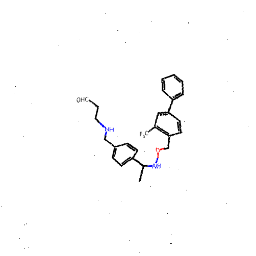 CC(NOCc1ccc(-c2ccccc2)cc1C(F)(F)F)c1ccc(CNCCC=O)cc1